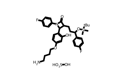 CC(C)(C)[Si](C)(C)OC(CCC1C(=O)N(c2ccc(F)cc2)C1c1ccc(OCCCCN)cc1O)c1ccc(F)cc1.O=S(=O)(O)O